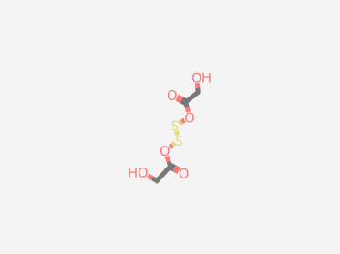 O=C(CO)OSSOC(=O)CO